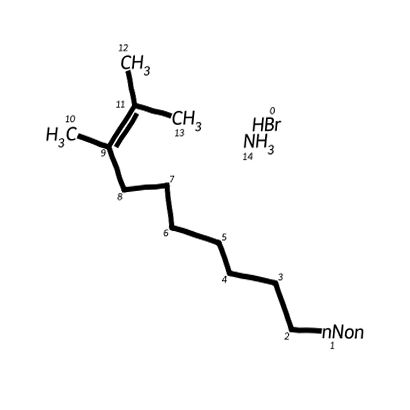 Br.CCCCCCCCCCCCCCCCC(C)=C(C)C.N